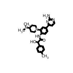 Cc1ccc(C(O)C(=O)Nc2ccc(-c3ccnc(N)n3)cc2N2CCC(N(C)C)CC2)cc1